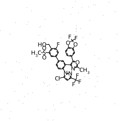 Cc1nc(-c2cc(-c3cc(F)c(CO)c(S(C)(=O)=O)c3)ccc2-n2nc(C(F)(F)F)cc2Cl)c(-c2ccc3c(c2)OC(F)(F)O3)o1